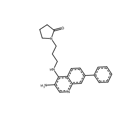 Nc1cnc2cc(-c3ccccc3)ccc2c1NCCCN1CCCC1=O